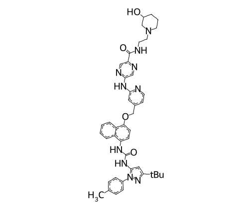 Cc1ccc(-n2nc(C(C)(C)C)cc2NC(=O)Nc2ccc(OCc3ccnc(Nc4cnc(C(=O)NCCN5CCCC(O)C5)cn4)c3)c3ccccc23)cc1